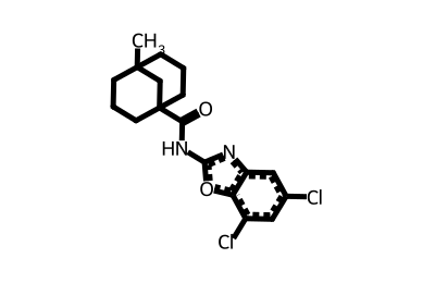 CC12CCCC(C(=O)Nc3nc4cc(Cl)cc(Cl)c4o3)(CCC1)C2